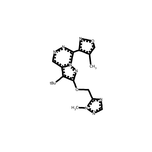 Cc1conc1-c1nncc2c(C(C)(C)C)c(OCc3ncnn3C)nn12